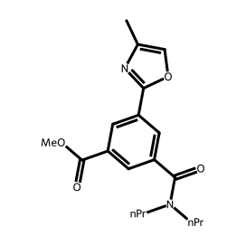 CCCN(CCC)C(=O)c1cc(C(=O)OC)cc(-c2nc(C)co2)c1